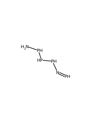 NPPPN=P